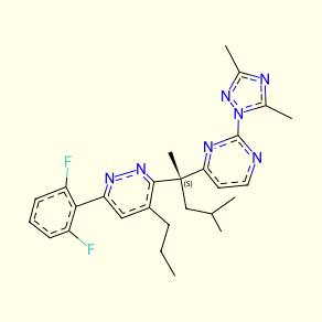 CCCc1cc(-c2c(F)cccc2F)nnc1[C@@](C)(CC(C)C)c1ccnc(-n2nc(C)nc2C)n1